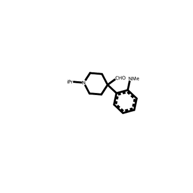 CNc1ccccc1C1(C=O)CCN(C(C)C)CC1